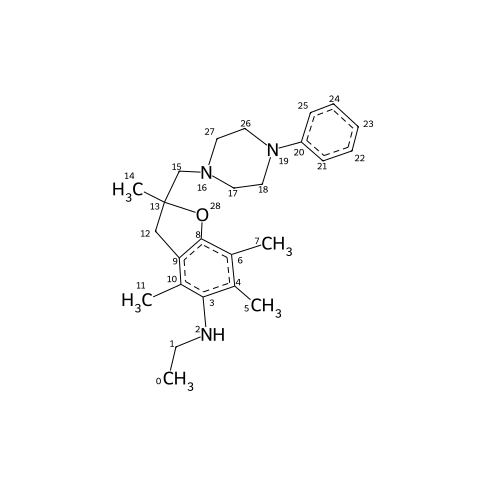 CCNc1c(C)c(C)c2c(c1C)CC(C)(CN1CCN(c3ccccc3)CC1)O2